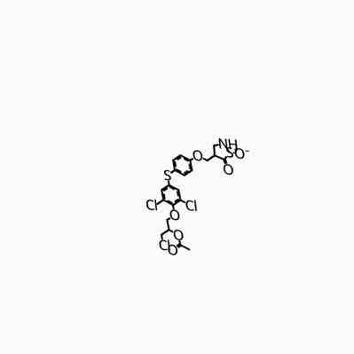 CC(=O)OC(CCl)COc1c(Cl)cc(Sc2ccc(OCC3CN[S+]([O-])C3=O)cc2)cc1Cl